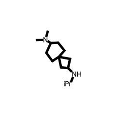 CC(C)NC1CC2(CCC(N(C)C)CC2)C1